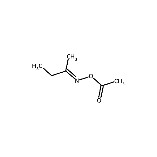 CC/C(C)=N/OC(C)=O